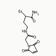 CCC(CCNC(=O)CN1C(=O)C=CC1=O)C(N)=O